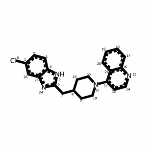 Clc1ccc2[nH]c(CC3CCN(c4ccnc5ccccc45)CC3)nc2c1